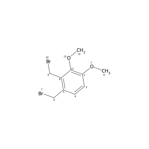 COc1ccc(CBr)c(CBr)c1OC